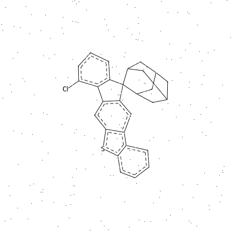 Clc1cccc2c1-c1cc3sc4ccccc4c3cc1C21C2CC3CC(C2)CC1C3